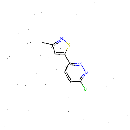 Cc1cc(-c2ccc(Cl)nn2)sn1